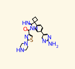 N=C(NC(=O)c1csc(N2CCNCC2)n1)C1(c2ccc(-c3cnc(N)nc3)cc2)CCC1